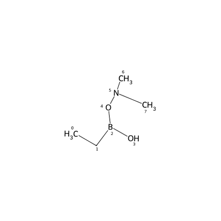 CCB(O)ON(C)C